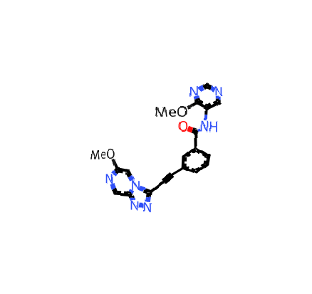 COc1cn2c(C#Cc3cccc(C(=O)Nc4cncnc4OC)c3)nnc2cn1